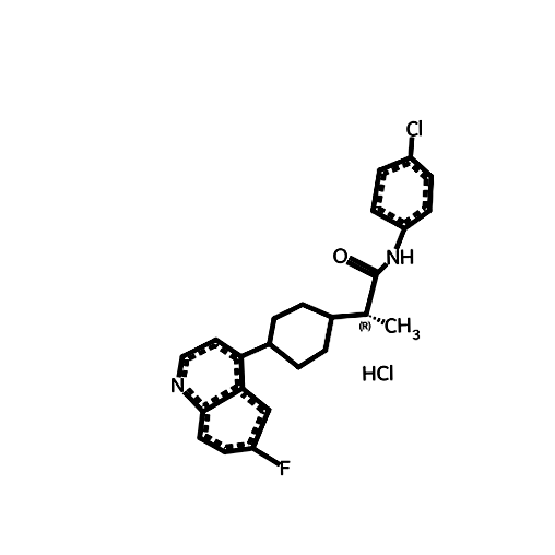 C[C@@H](C(=O)Nc1ccc(Cl)cc1)C1CCC(c2ccnc3ccc(F)cc23)CC1.Cl